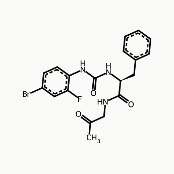 CC(=O)CNC(=O)[C@H](Cc1ccccc1)NC(=O)Nc1ccc(Br)cc1F